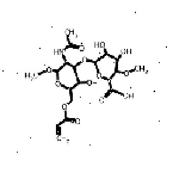 C=CC(=O)OCC1OC(OC)C(NC(C)=O)C(OC2OC(C(=O)O)C(OC)C(O)C2O)C1O